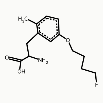 Cc1ccc(OCCCCF)cc1CC(N)C(=O)O